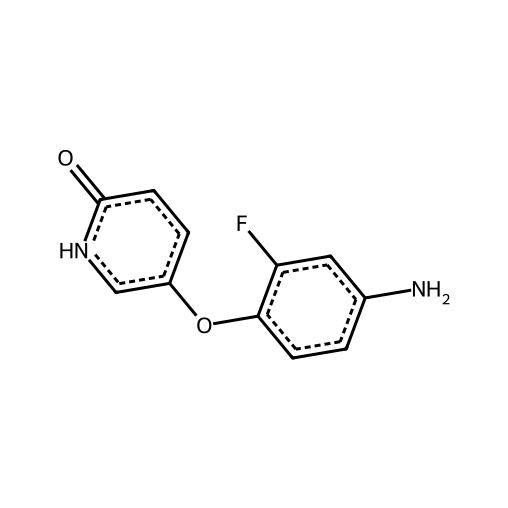 Nc1ccc(Oc2ccc(=O)[nH]c2)c(F)c1